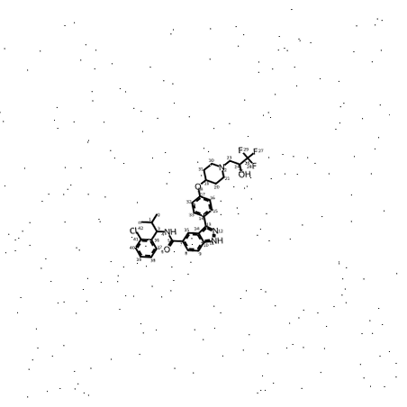 CC(C)C(NC(=O)c1ccc2[nH]nc(-c3ccc(OC4CCN(CC(O)C(F)(F)F)CC4)cc3)c2c1)c1ccccc1Cl